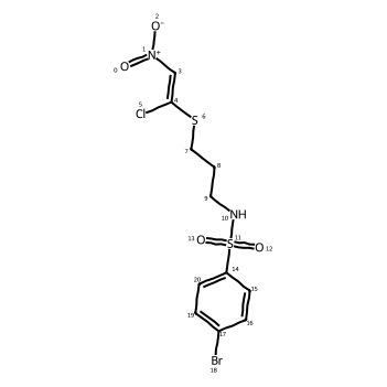 O=[N+]([O-])C=C(Cl)SCCCNS(=O)(=O)c1ccc(Br)cc1